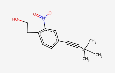 C[Si](C)(C)C#Cc1ccc(CCO)c([N+](=O)[O-])c1